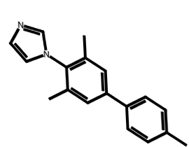 Cc1ccc(-c2cc(C)c(-n3ccnc3)c(C)c2)cc1